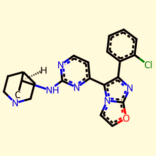 Clc1ccccc1-c1nc2occn2c1-c1ccnc(N[C@H]2CN3CCC2CC3)n1